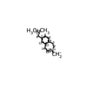 [CH2-][NH+]1CCc2ccc(CN(C)C)cc2CC1